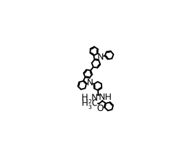 CC1OC2=C(C=CCC2)C1NC(N)C1=CCCC(n2c3c(c4ccc(C5C=Cc6c(c7ccccc7n6C6=CCCC=C6)C5)cc42)C=CCC3)=C1